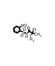 CCC(C)(C)C(=O)NS(=O)(=O)c1ccccc1[N+](=O)[O-]